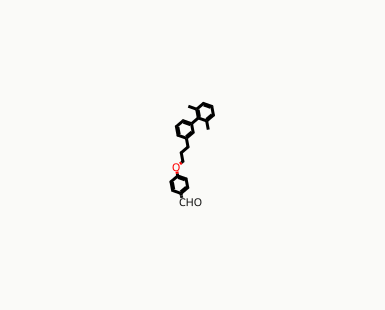 Cc1cccc(C)c1-c1cccc(CCCOc2ccc(C=O)cc2)c1